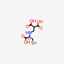 O=C(O)C(CN[C@@H](CS)C(=O)O)C(=O)O